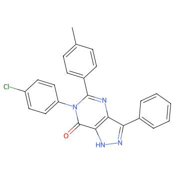 Cc1ccc(-c2nc3c(-c4ccccc4)n[nH]c3c(=O)n2-c2ccc(Cl)cc2)cc1